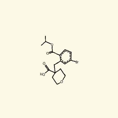 CC(C)OC(=O)c1ccc(Br)cc1CC1(C(=O)O)CCOCC1